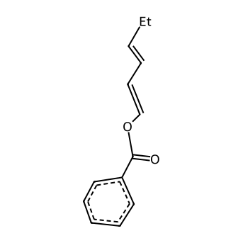 CCC=CC=COC(=O)c1ccccc1